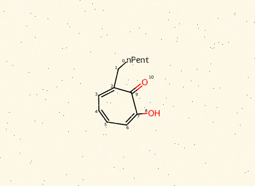 CCCCCCc1ccccc(O)c1=O